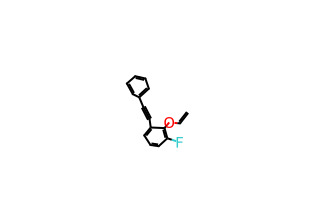 C=COc1c(F)cccc1C#Cc1ccccc1